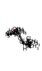 Cc1ncsc1-c1ccc(CNC(=O)[C@@H]2C[C@@H](O)CN2C(=O)C(NC(=O)COCCCOCCCOc2ccc(NC(=O)C[C@@H]3N=C(c4ccc(Cl)cc4)c4c(sc(C)c4C)-n4c(C)nnc43)cc2F)C(C)(C)C)cc1